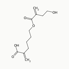 C=C(CCCCOC(=O)C(=C)CCO)C(=O)O